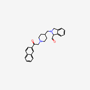 O=CC1c2ccccc2CN1CC1CCN(CC(=O)c2ccc3ccccc3c2)CC1